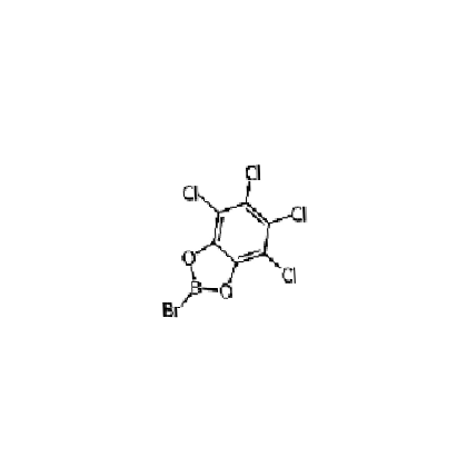 Clc1c(Cl)c(Cl)c2c(c1Cl)OB(Br)O2